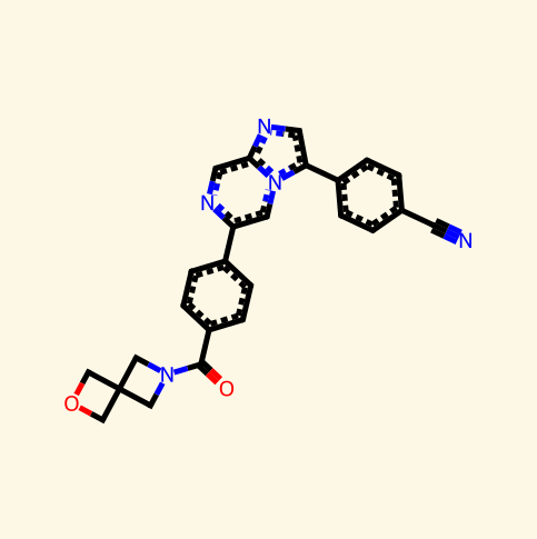 N#Cc1ccc(-c2cnc3cnc(-c4ccc(C(=O)N5CC6(COC6)C5)cc4)cn23)cc1